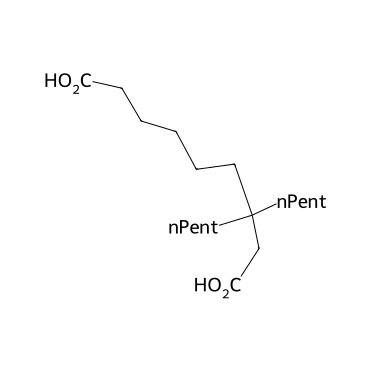 CCCCCC(CCCCC)(CCCCCC(=O)O)CC(=O)O